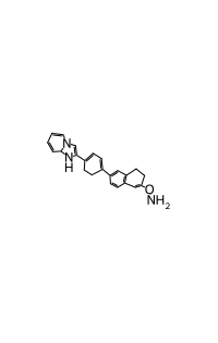 NOC1=Cc2ccc(C3=CC=C(C4=CN5C=CC=CC5N4)CC3)cc2CC1